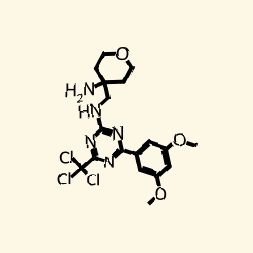 COc1cc(OC)cc(-c2nc(NCC3(N)CCOCC3)nc(C(Cl)(Cl)Cl)n2)c1